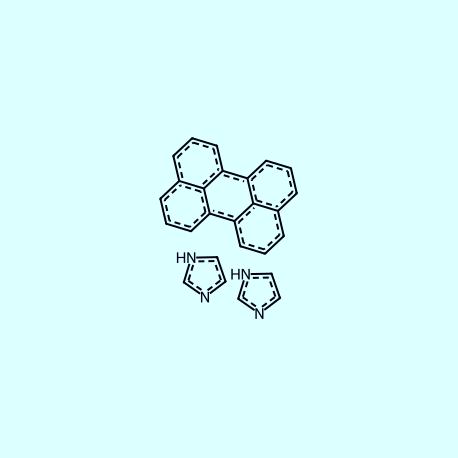 c1c[nH]cn1.c1c[nH]cn1.c1cc2cccc3c4cccc5cccc(c(c1)c23)c54